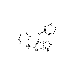 Clc1ccccc1C1CN=C2SC(NC3CCCCC3)=NN21